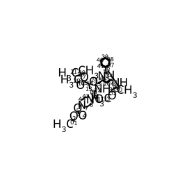 CCOC(=O)ON1CCN(C(=O)[C@H](CCC(=O)OC(C)(C)C)NC(=O)c2cc(N[C@@H](C)COC)nc(-c3ccccc3)n2)CC1